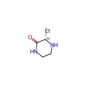 CC[C@@H]1NCCNC1=O